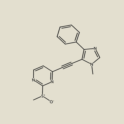 Cn1cnc(-c2ccccc2)c1C#Cc1ccnc([S+](C)[O-])n1